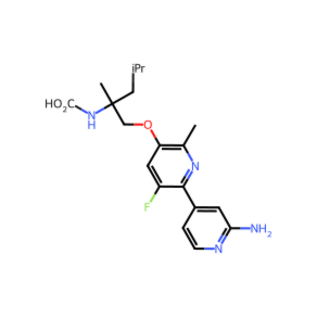 Cc1nc(-c2ccnc(N)c2)c(F)cc1OCC(C)(CC(C)C)NC(=O)O